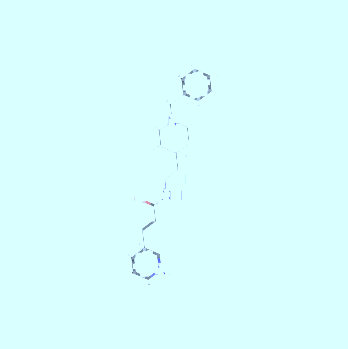 Cl.O=C(C=Cc1cccnc1)NCCC1CCN(Cc2ccccc2)CC1